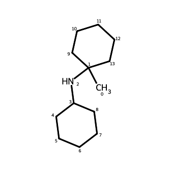 CC1(NC2CCCCC2)CCCCC1